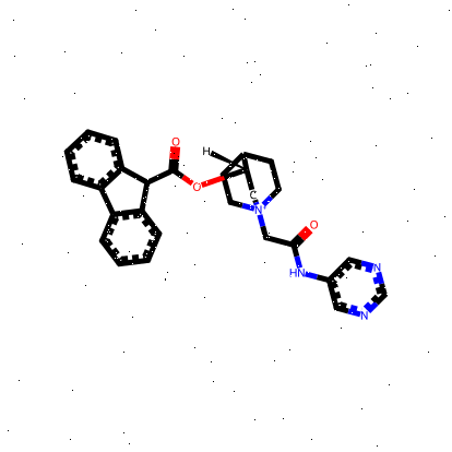 O=C(C[N+]12CCC(CC1)[C@@H](OC(=O)C1c3ccccc3-c3ccccc31)C2)Nc1cncnc1